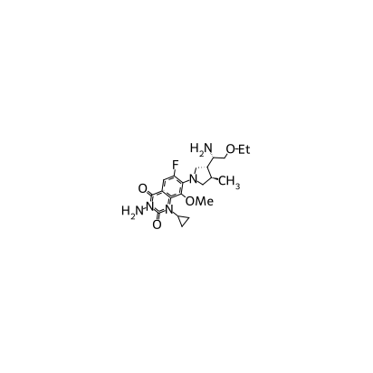 CCOC[C@@H](N)[C@H]1CN(c2c(F)cc3c(=O)n(N)c(=O)n(C4CC4)c3c2OC)C[C@@H]1C